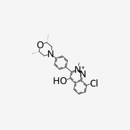 C[C@@H]1CN(c2ccc(-c3c(O)c4cccc(Cl)c4n[n+]3C)cc2)C[C@H](C)O1